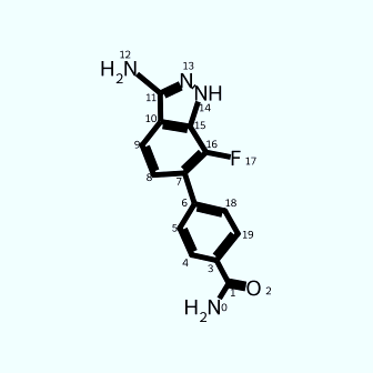 NC(=O)c1ccc(-c2ccc3c(N)n[nH]c3c2F)cc1